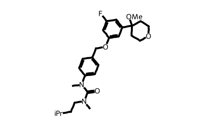 COC1(c2cc(F)cc(OCc3ccc(N(C)C(=O)N(C)CCC(C)C)cc3)c2)CCOCC1